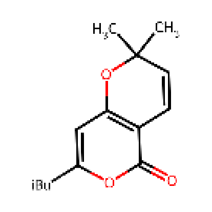 CCC(C)c1cc2c(c(=O)o1)C=CC(C)(C)O2